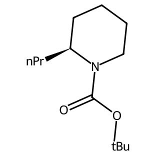 CCC[C@H]1CCCCN1C(=O)OC(C)(C)C